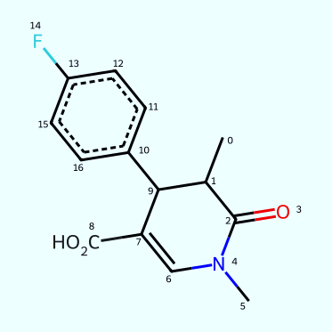 CC1C(=O)N(C)C=C(C(=O)O)C1c1ccc(F)cc1